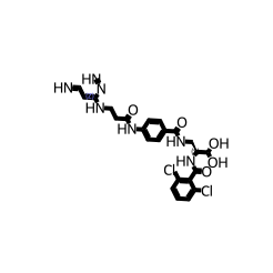 N=C/C=C(\N=N)NCCC(=O)Nc1ccc(C(=O)NC[C@H](NC(=O)c2c(Cl)cccc2Cl)C(O)O)cc1